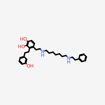 Oc1cccc(CCc2c(CCNCCCCCCCNCCc3ccccc3)ccc(O)c2O)c1